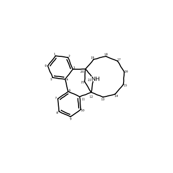 c1ccc2c(c1)-c1ccccc1C13CCCCCCCC2(C1)N3